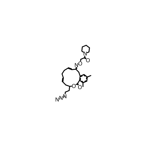 Cc1cc(C)c2c(c1)CC(=NOCC(=O)N1CCCCC1)/C=C/CC/C=C/CC(CCN=[N+]=[N-])OC2=O